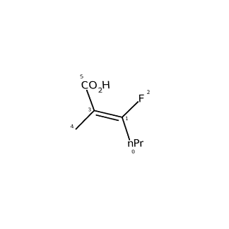 CCC/C(F)=C(\C)C(=O)O